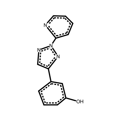 Oc1cccc(-c2cnn(-c3ccccn3)n2)c1